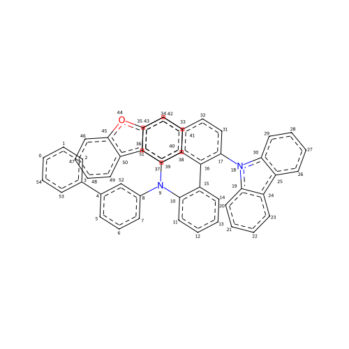 c1ccc(-c2cccc(N(c3ccccc3-c3c(-n4c5ccccc5c5ccccc54)ccc4ccccc34)c3cccc4oc5ccccc5c34)c2)cc1